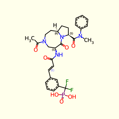 CC(=O)N1CC[C@H]2CC[C@@H](C(=O)N(C)c3ccccc3)N2C(=O)[C@@H](NC(=O)/C=C/c2cccc(C(F)(F)P(=O)(O)O)c2)C1